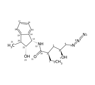 CC[C@H](C[C@H](O)CN=[N+]=[N-])C(=O)N[C@H]1c2ccccc2C(C)[C@H]1O